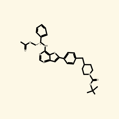 CC(=O)OC[C@@H](Nc1ncnc2cc(-c3ccc(CC4CCN(C(=O)OC(C)(C)C)CC4)cc3)sc12)c1ccccc1